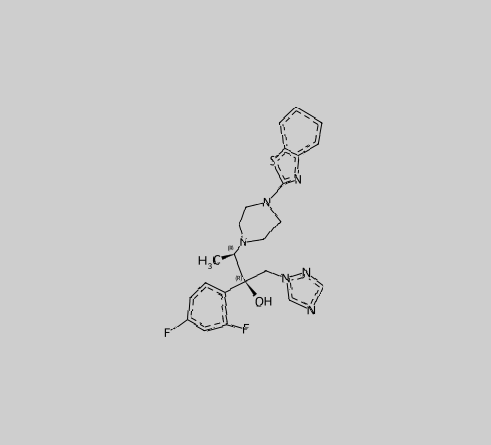 C[C@@H](N1CCN(c2nc3ccccc3s2)CC1)[C@](O)(Cn1cncn1)c1ccc(F)cc1F